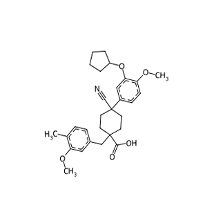 COc1cc(CC2(C(=O)O)CCC(C#N)(c3ccc(OC)c(OC4CCCC4)c3)CC2)ccc1C